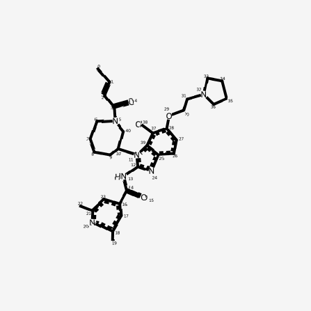 C/C=C/C(=O)N1CCCCC(n2c(NC(=O)c3cc(C)nc(C)c3)nc3ccc(OCCN4CCCC4)c(Cl)c32)C1